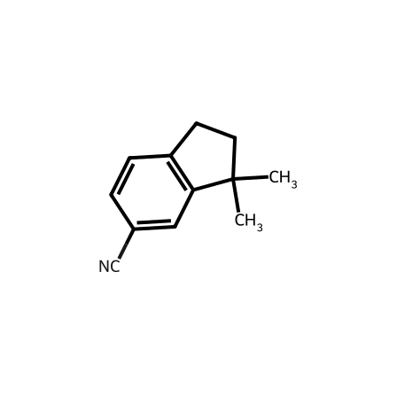 CC1(C)CCc2ccc(C#N)cc21